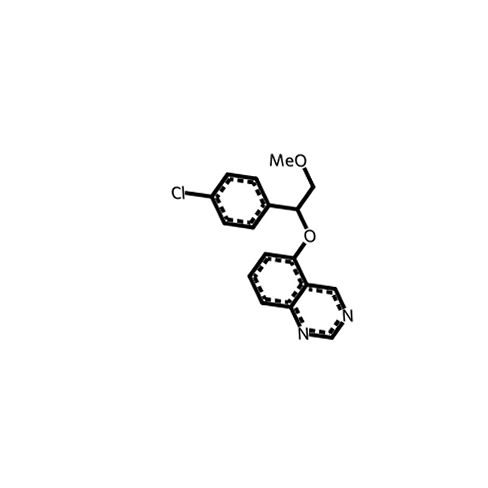 COCC(Oc1cccc2ncncc12)c1ccc(Cl)cc1